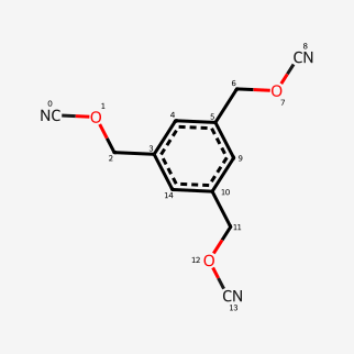 N#COCc1cc(COC#N)cc(COC#N)c1